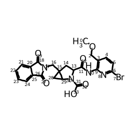 COCc1ccc(Br)nc1NC(=O)C1CC2(CN3C(=O)c4ccccc4C3=O)CC2N1C(=O)O